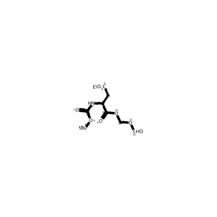 CCOC(=O)CC(NC(=O)OC(C)(C)C)C(=O)OCOC=O